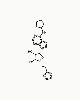 O[C@@H]1[C@H](O)[C@@H](CCc2nccs2)O[C@H]1n1cnc2c(NC3CCCC3)ncnc21